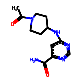 CC(=O)N1CCC(Nc2cc(C(N)=O)ncn2)CC1